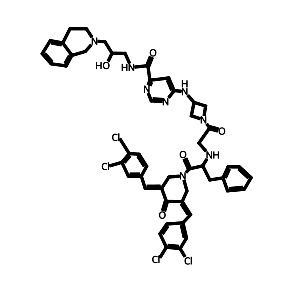 O=C1C(=Cc2ccc(Cl)c(Cl)c2)CN(C(=O)C(Cc2ccccc2)NCC(=O)N2CC(Nc3cc(C(=O)NCC(O)CN4CCc5ccccc5C4)ncn3)C2)CC1=Cc1ccc(Cl)c(Cl)c1